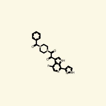 O=C(C(=O)N1CCN(C(=O)c2ccccc2)CC1)c1c[nH]c2c(-c3cc[nH]n3)ncc(F)c12